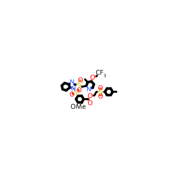 COc1ccc(S(=O)(=O)n2c([S+]([O-])Cc3nccc(OCC(F)(F)F)c3C)nc3ccccc32)cc1C(=O)OCCS(=O)(=O)c1ccc(C)cc1